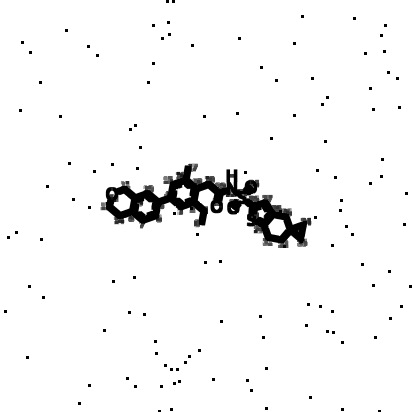 CCc1cc(-c2ccc3c(c2)COCC3)cc(C)c1CC(=O)NS(=O)(=O)c1cc2c(s1)CCC1(CC1)C2